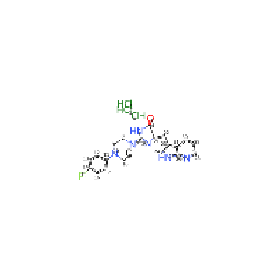 Cl.Cl.Cl.O=C1NC(N2CCN(c3ccc(F)cc3)CC2)=NC1=Cc1c[nH]c2ncccc12